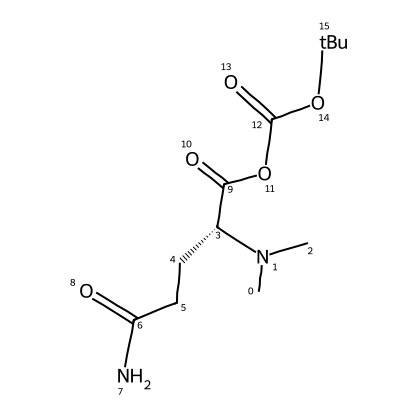 CN(C)[C@H](CCC(N)=O)C(=O)OC(=O)OC(C)(C)C